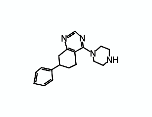 c1ccc(C2CCc3c(ncnc3N3CCNCC3)C2)cc1